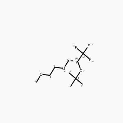 COCCOC[C@@H](OC(C)(C)C)C(F)(F)F